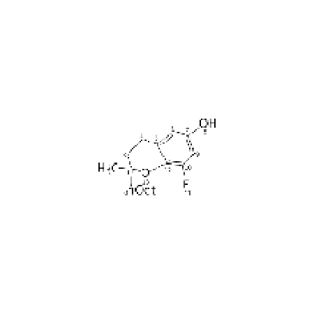 CCCCCCCCC1(C)CCc2cc(O)cc(F)c2O1